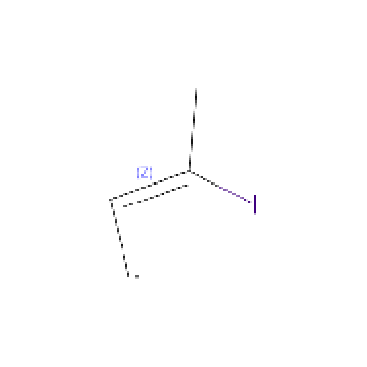 [CH2]/C=C(/C)I